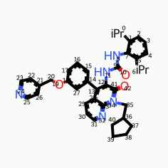 CC(C)c1cccc(C(C)C)c1NC(=O)Nc1c(-c2cccc(OCc3ccncc3)c2)c2cccnc2n(CC2CCCC2)c1=O